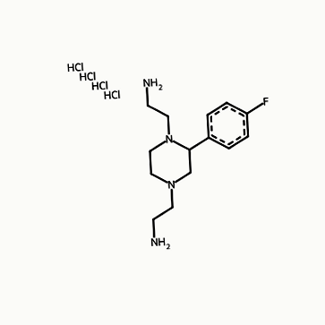 Cl.Cl.Cl.Cl.NCCN1CCN(CCN)C(c2ccc(F)cc2)C1